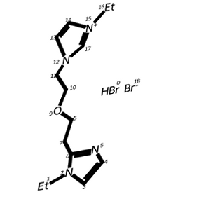 Br.CCn1ccnc1CCOCCn1cc[n+](CC)c1.[Br-]